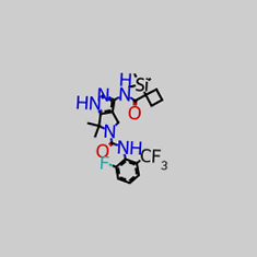 CC1(C)c2[nH]nc(NC(=O)C3([Si](C)(C)C)CCC3)c2CN1C(=O)Nc1c(F)cccc1C(F)(F)F